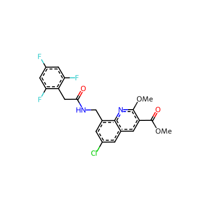 COC(=O)c1cc2cc(Cl)cc(CNC(=O)Cc3c(F)cc(F)cc3F)c2nc1OC